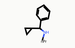 CCCNC(c1ccccc1)C1CC1